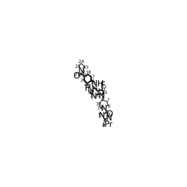 CC(C)c1noc(N2CCC(n3cc(F)c4c(Nc5ccc(C(=O)N6CCC6)cc5F)ncnc43)CC2)n1